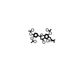 CC(=O)Oc1ccc(C2CC(=O)c3c(cc(OC(C)=O)c(CC=C(C)C)c3O)O2)cc1OC(C)=O